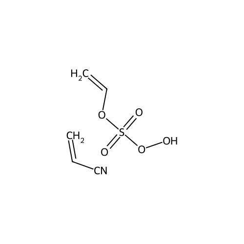 C=CC#N.C=COS(=O)(=O)OO